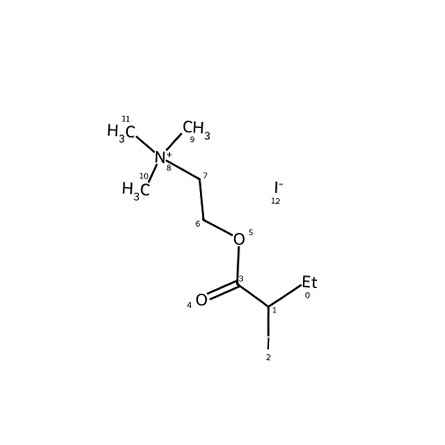 CCC(I)C(=O)OCC[N+](C)(C)C.[I-]